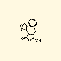 O=C1OC(O)C(Cc2ccccc2)=C1C1=CCOO1